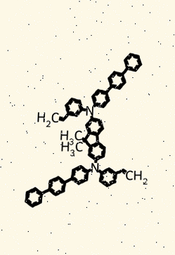 C=Cc1cccc(N(c2ccc(-c3ccc(-c4ccccc4)cc3)cc2)c2ccc3c(c2)C(C)(C)c2cc(N(c4ccc(-c5ccc(-c6ccccc6)cc5)cc4)c4cccc(C=C)c4)ccc2-3)c1